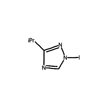 CC(C)c1ncn(I)n1